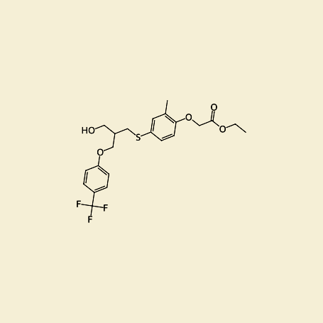 CCOC(=O)COc1ccc(SCC(CO)COc2ccc(C(F)(F)F)cc2)cc1C